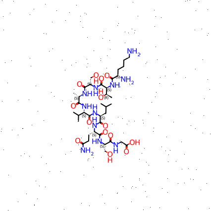 CC(C)C[C@H](NC(=O)[C@@H](NC(=O)[C@H](C)NC(=O)[C@H](CO)NC(=O)[C@@H](NC(=O)[C@@H](N)CCCCN)[C@@H](C)O)C(C)C)C(=O)N[C@@H](CCC(N)=O)C(=O)N[C@@H](CO)C(=O)NCC(=O)O